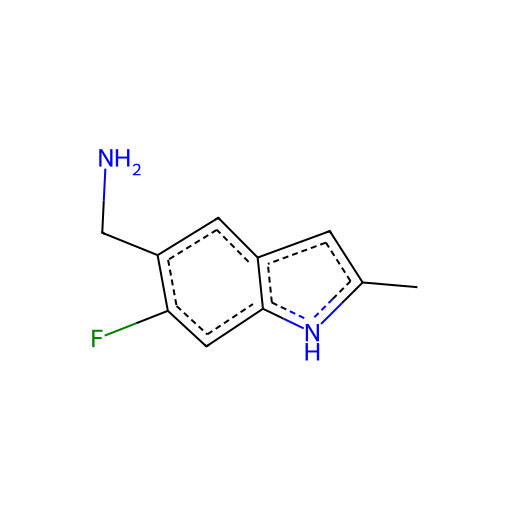 Cc1cc2cc(CN)c(F)cc2[nH]1